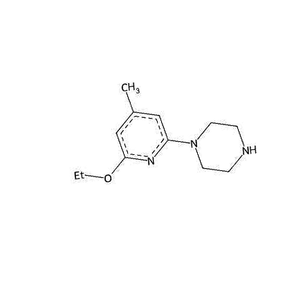 CCOc1cc(C)cc(N2CCNCC2)n1